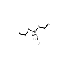 CC[O][Ti][O]CC.Cl.Cl.[Ti]